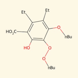 CCCCOOc1c(O)c(C(=O)O)c(CC)c(CC)c1OCCCC